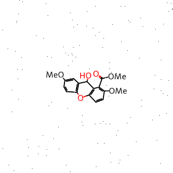 COC(=O)c1c(OC)ccc2c1C(O)c1cc(OC)ccc1O2